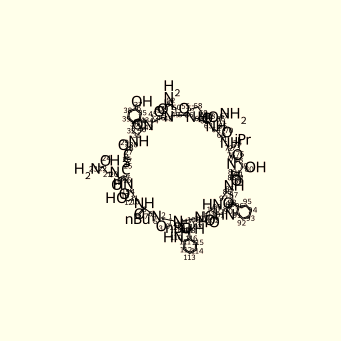 CCCC[C@H]1C(=O)N(C)[C@@H](CCCC)C(=O)N[C@@H](CO)C(=O)NC(C(=O)NCC(N)=O)CSCC(=O)N[C@@H](Cc2ccc(O)cc2)C(=O)N(C)[C@@H](C)C(=O)N[C@@H](CC(N)=O)C(=O)N2CCC[C@H]2C(=O)N[C@@H](CC(N)=O)C(=O)N[C@@H](CC(C)C)C(=O)N2C[C@H](O)C[C@H]2C(=O)N[C@@H](Cc2c[nH]c3ccccc23)C(=O)N[C@@H](CO)C(=O)N[C@@H](Cc2c[nH]c3ccccc23)C(=O)N1C